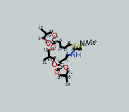 CNCCNCCC[Si]1(OCC(C)CO[Si]2(CCCCS)OCC(C)CO2)OCC(C)CO1